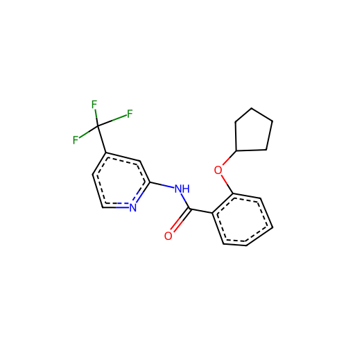 O=C(Nc1cc(C(F)(F)F)ccn1)c1ccccc1OC1CCCC1